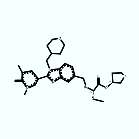 CC[C@H](NCc1ccc2c(c1)nc(-c1cc(C)c(=O)n(C)c1)n2CC1CCOCC1)C(=O)O[C@H]1CCOC1